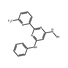 CC(C)Nc1cc(Nc2ccccc2)nc(-c2cccc(C(F)(F)F)n2)n1